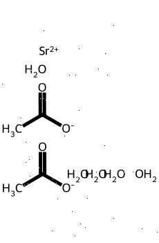 CC(=O)[O-].CC(=O)[O-].O.O.O.O.O.[Sr+2]